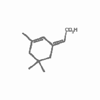 CC1=C/C(=C\C(=O)O)CC(C)(C)C1